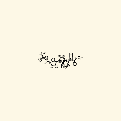 CC(C)C(=O)Nc1ncnn2c(C3CCC(COC(=O)C(C)C)O3)ccc12